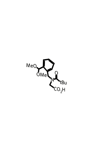 COC(OC)c1ccccc1CN(CC(=O)O)C(=O)C(C)(C)C